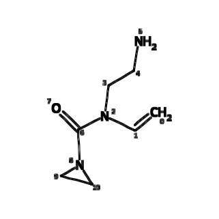 C=CN(CCN)C(=O)N1CC1